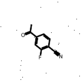 CC(=O)c1ccc(C#N)c(F)c1